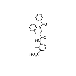 Cc1c(NC(=O)C(CSC(=O)c2ccccc2)Cc2ccccc2)cccc1C(=O)O